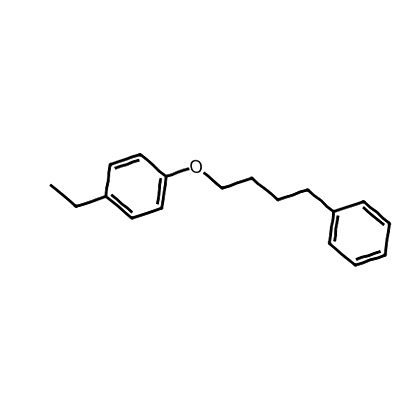 CCc1ccc(OCCCCc2ccccc2)cc1